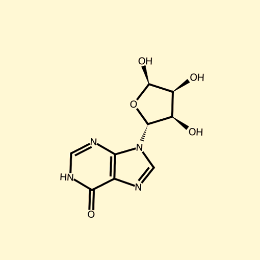 O=c1[nH]cnc2c1ncn2[C@@H]1O[C@@H](O)[C@@H](O)[C@H]1O